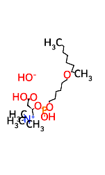 CCCCCCC(C)OCCCCCCOP(O)O[C@H](CC(=O)O)C[N+](C)(C)C.[OH-]